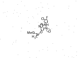 COCCN(C)CCOc1cc(OC2CCOCC2)c2c(Nc3ccc(F)c(Cl)c3)ncnc2c1